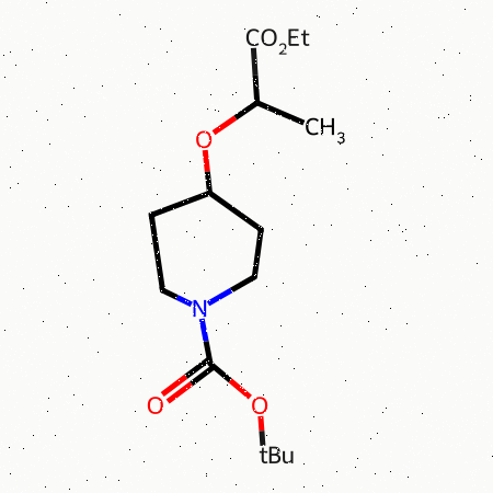 CCOC(=O)C(C)OC1CCN(C(=O)OC(C)(C)C)CC1